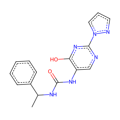 CC(NC(=O)Nc1cnc(-n2cccn2)nc1O)c1ccccc1